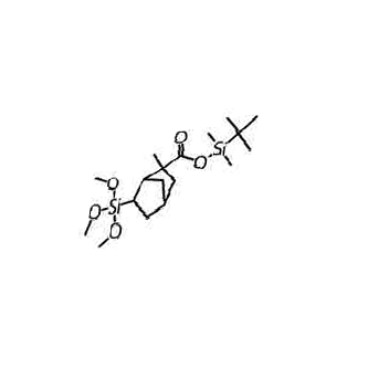 CO[Si](OC)(OC)C1CC2CC1C(C)(C(=O)O[Si](C)(C)C(C)(C)C)C2